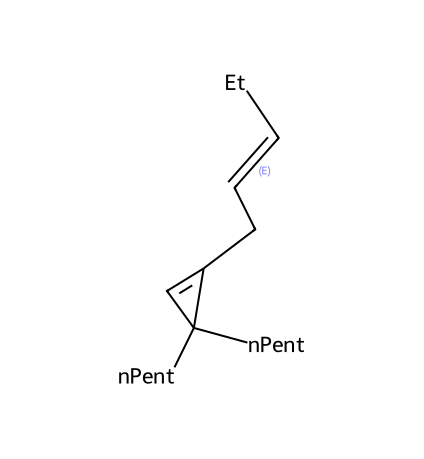 CC/C=C/CC1=CC1(CCCCC)CCCCC